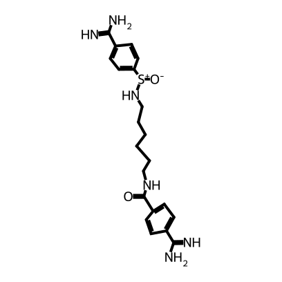 N=C(N)c1ccc(C(=O)NCCCCCCN[S+]([O-])c2ccc(C(=N)N)cc2)cc1